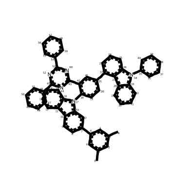 Cc1cc(C)cc(-c2ccc3c4ccccc4n(-c4ccc(-c5cccc6c5c5ccccc5n6-c5ccccc5)cc4-c4nc(-c5ccccc5)nc(-c5ccccc5)n4)c3c2)c1